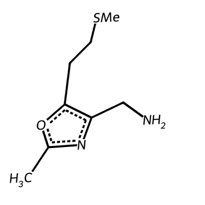 CSCCc1oc(C)nc1CN